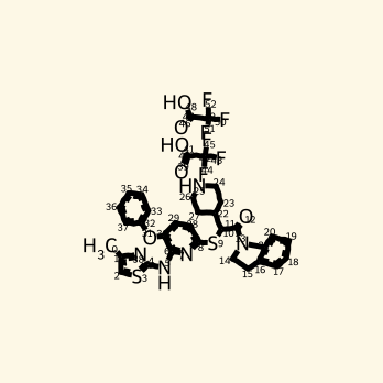 Cc1csc(Nc2nc(SC(C(=O)N3CCc4ccccc43)C3CCNCC3)ccc2Oc2ccccc2)n1.O=C(O)C(F)(F)F.O=C(O)C(F)(F)F